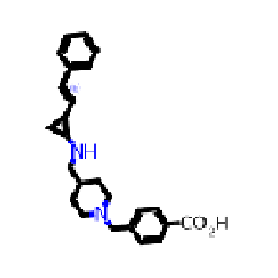 O=C(O)c1ccc(CN2CCC(CNC3CC3/C=C/c3ccccc3)CC2)cc1